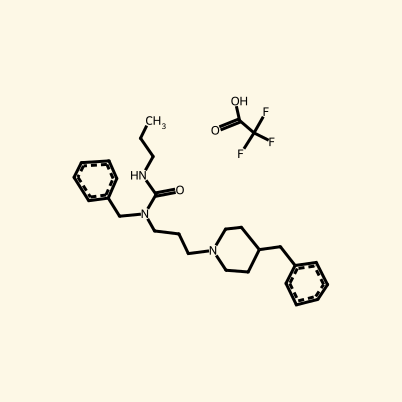 CCCNC(=O)N(CCCN1CCC(Cc2ccccc2)CC1)Cc1ccccc1.O=C(O)C(F)(F)F